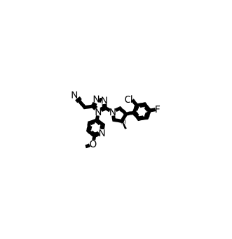 COc1ccc(-n2c(CC#N)nnc2N2CC(c3ccc(F)cc3Cl)[C@@H](C)C2)cn1